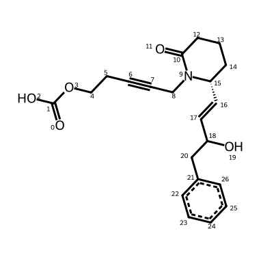 O=C(O)OCCC#CCN1C(=O)CCC[C@@H]1/C=C/C(O)Cc1ccccc1